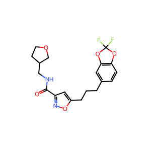 O=C(NCC1CCOC1)c1cc(CCCc2ccc3c(c2)OC(F)(F)O3)on1